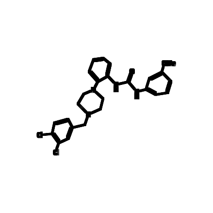 COc1cccc(NC(=O)Nc2ccccc2N2CCN(Cc3ccc(Cl)c(Cl)c3)CC2)c1